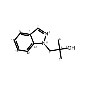 CC(C)(O)Cn1ncc2ccccc21